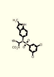 Cc1cc2cc(N(C(C(=O)O)C(C)(C)C)S(=O)(=O)c3cc(Cl)cc(Cl)c3)ccc2[nH]1